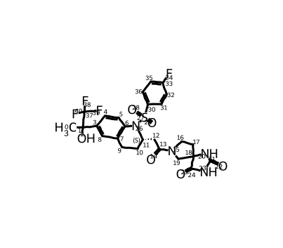 CC(O)(c1ccc2c(c1)CC[C@@H](CC(=O)N1CCC3(C1)NC(=O)NC3=O)N2S(=O)(=O)c1ccc(F)cc1)C(F)(F)F